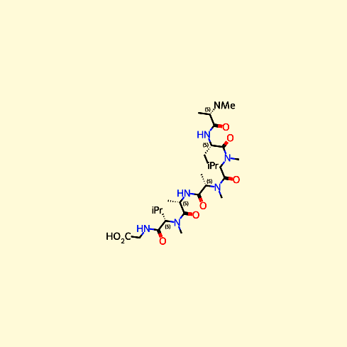 CN[C@@H](C)C(=O)N[C@@H](CC(C)C)C(=O)N(C)CC(=O)N(C)[C@@H](C)C(=O)N[C@@H](C)C(=O)N(C)[C@H](C(=O)NCC(=O)O)C(C)C